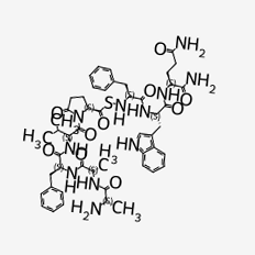 CC(C)[C@H](NC(=O)[C@H](Cc1ccccc1)NC(=O)[C@H](C)NC(=O)[C@H](C)N)C(=O)N1C(=O)CC[C@H]1C(=O)SN[C@@H](Cc1ccccc1)C(=O)N[C@@H](Cc1c[nH]c2ccccc12)C(=O)N[C@@H](CCC(N)=O)C(N)=O